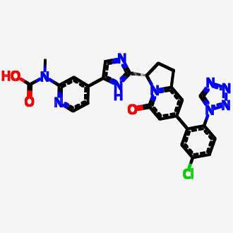 CN(C(=O)O)c1cc(-c2cnc([C@@H]3CCc4cc(-c5cc(Cl)ccc5-n5cnnn5)cc(=O)n43)[nH]2)ccn1